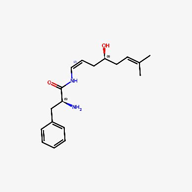 CC(C)=CC[C@H](O)C/C=C\NC(=O)[C@@H](N)Cc1ccccc1